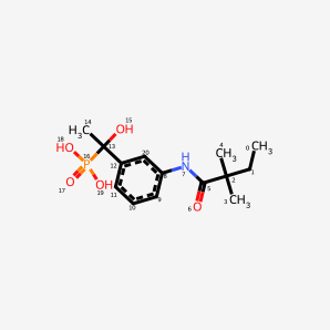 CCC(C)(C)C(=O)Nc1cccc(C(C)(O)P(=O)(O)O)c1